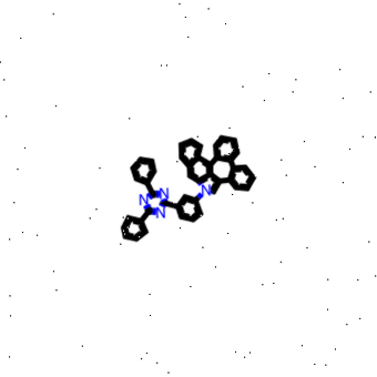 c1ccc(-c2nc(-c3ccccc3)nc(-c3cccc(-n4cc5c6c(c7ccccc7cc64)-c4ccccc4-c4ccccc4-5)c3)n2)cc1